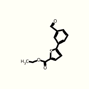 CCOC(=O)c1ccc(-c2cccc(C=O)c2)s1